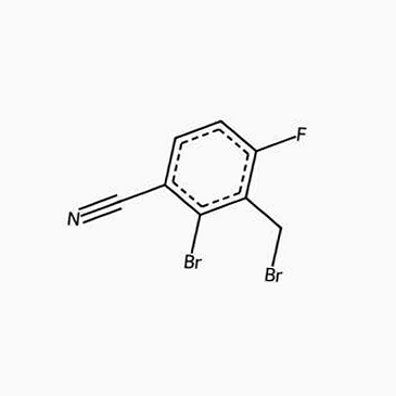 N#Cc1ccc(F)c(CBr)c1Br